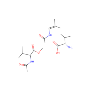 CC(=O)NC=C(C)C.CC(C)[C@H](N)C(=O)O.COC(=O)C(NC(C)=O)C(C)C